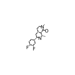 Cc1nc(-c2ccc(F)c(F)c2)cc2ccn(C)c(=O)c12